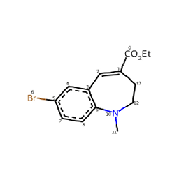 CCOC(=O)C1=Cc2cc(Br)ccc2N(C)CC1